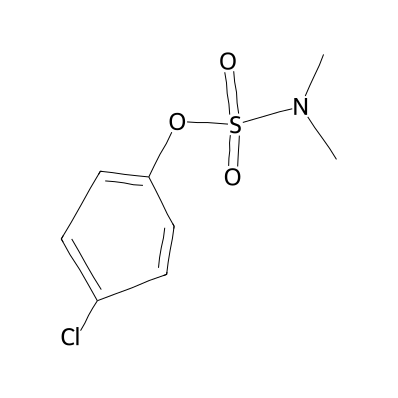 CN(C)S(=O)(=O)Oc1ccc(Cl)cc1